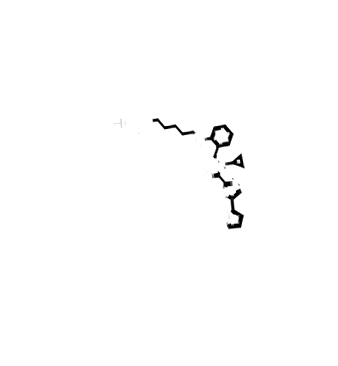 O=C(O)CCCCCOc1ccccc1CN(C(=O)c1ncc(-c2ccco2)s1)C1CC1